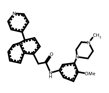 COc1ccc(NC(=O)Cc2ccc(-c3ccncc3)c3ccccc23)cc1N1CCN(C)CC1